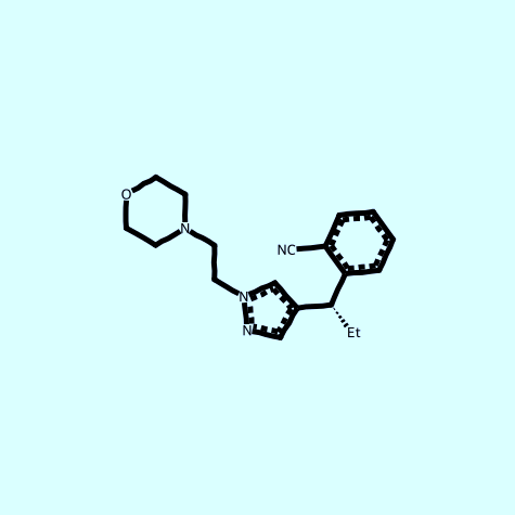 CC[C@H](c1cnn(CCN2CCOCC2)c1)c1ccccc1C#N